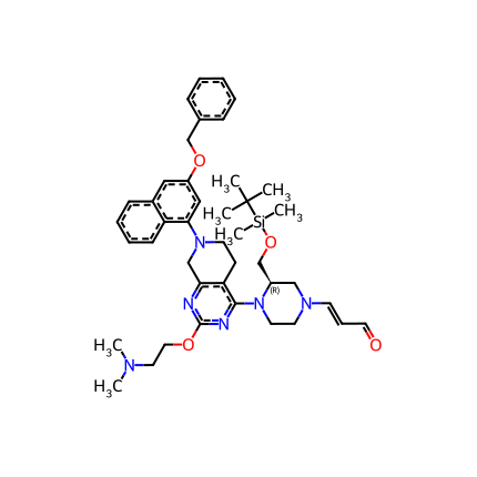 CN(C)CCOc1nc2c(c(N3CCN(C=CC=O)C[C@@H]3CO[Si](C)(C)C(C)(C)C)n1)CCN(c1cc(OCc3ccccc3)cc3ccccc13)C2